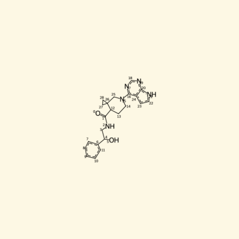 O=C(NCC(O)c1ccccc1)C1CCN(c2ncnc3[nH]ccc23)CC12CC2